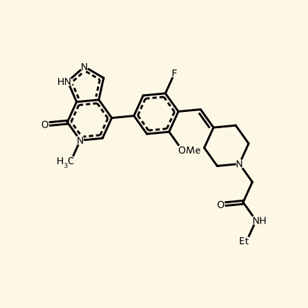 CCNC(=O)CN1CCC(=Cc2c(F)cc(-c3cn(C)c(=O)c4[nH]ncc34)cc2OC)CC1